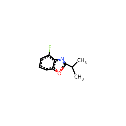 CC(C)c1nc2c(F)cccc2o1